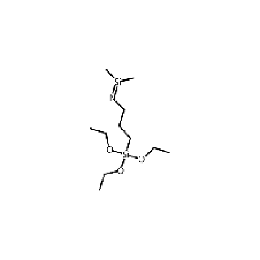 CCO[Si](CCCN=[Si](C)C)(OCC)OCC